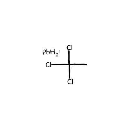 CC(Cl)(Cl)Cl.[PbH2]